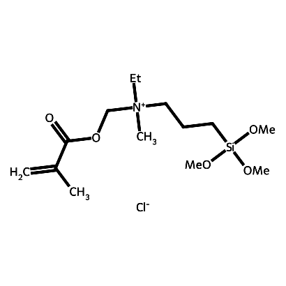 C=C(C)C(=O)OC[N+](C)(CC)CCC[Si](OC)(OC)OC.[Cl-]